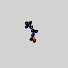 c1ccc2c(c1)-c1ccccc1C21c2ccccc2-n2c1nc1cc(-c3ccc4c(c3)c3ccccc3n4-c3ccc(-c4cccc5c4oc4ccccc45)cc3)ccc12